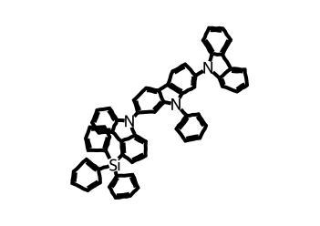 c1ccc(-n2c3cc(-n4c5ccccc5c5ccccc54)ccc3c3ccc(-n4c5ccccc5c5c([Si](c6ccccc6)(c6ccccc6)c6ccccc6)cccc54)cc32)cc1